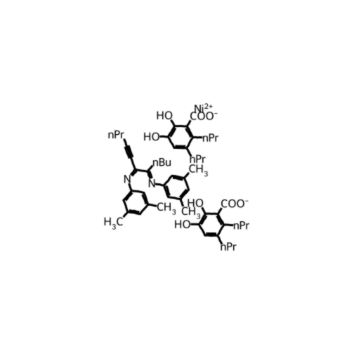 CCCC#CC(=Nc1cc(C)cc(C)c1)C(CCCC)=Nc1cc(C)cc(C)c1.CCCc1cc(O)c(O)c(C(=O)[O-])c1CCC.CCCc1cc(O)c(O)c(C(=O)[O-])c1CCC.[Ni+2]